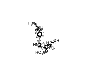 C[C@H]1C(S[C@@H]2CN[C@H](CSc3ccc(S(=O)(=O)NCCN)cc3)C2)=C(OC(=O)O)N2C(=O)[C@@H](CCO)[C@@H]12